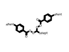 [CH2]CCCCCC[C](OOC(=O)c1ccc(CCCCC)cc1)OOC(=O)c1ccc(CCCCC)cc1